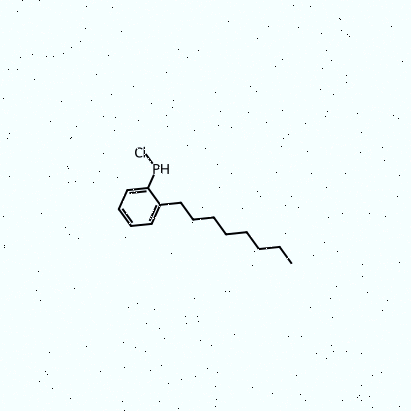 CCCCCCCCc1ccccc1PCl